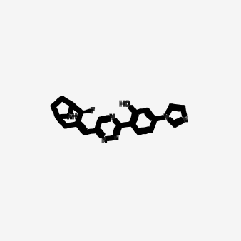 Oc1cc(-n2ccnc2)ccc1-c1ncc(/C=C2/CC3CCC(N3)[C@H]2F)nn1